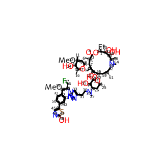 CC[C@H]1OC(=O)[C@H](C)C([C@H]2C[C@@](C)(OC)[C@@H](O)[C@H](C)O2)[C@H](C)[C@@H](O[C@@H]2O[C@H](C)C[C@H](N(C)CCc3cn([C@H](CF)[C@H](OC)c4ccc(-c5cnc(O)s5)cc4)nn3)[C@H]2O)[C@](C)(O)C[C@@H](C)CN(C)[C@H](C)[C@@H](O)[C@]1(C)O